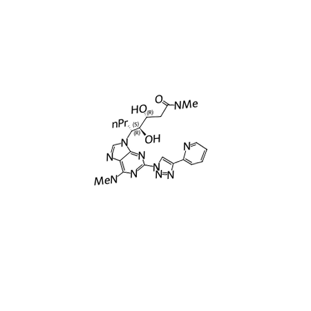 CCC[C@H]([C@H](O)[C@H](O)CC(=O)NC)n1cnc2c(NC)nc(-n3cc(-c4ccccn4)nn3)nc21